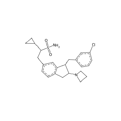 NS(=O)(=O)C(Cc1ccc2c(c1)C(Cc1cccc(Cl)c1)C(N1CCC1)C2)C1CC1